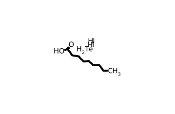 CCCCCCCCC(=O)O.I.I.[TeH2]